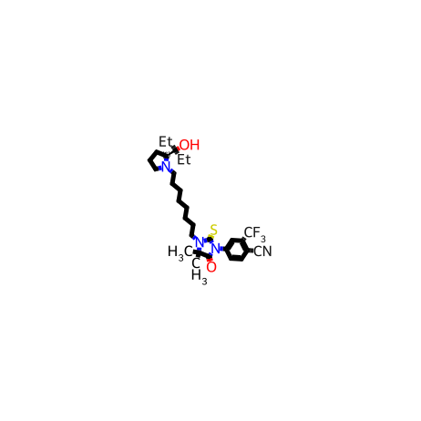 CCC(O)(CC)[C@@H]1CCCN1CCCCCCCCN1C(=S)N(c2ccc(C#N)c(C(F)(F)F)c2)C(=O)C1(C)C